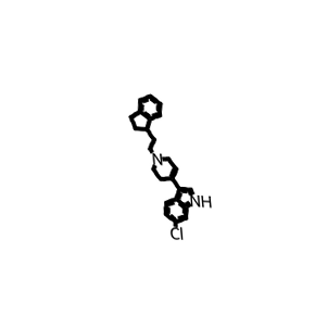 Clc1ccc2c(C3=CCN(CCC4CCc5ccccc54)CC3)c[nH]c2c1